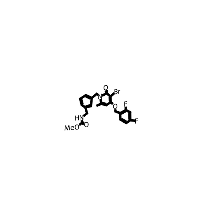 COC(=O)NCc1cccc(Cn2c(C)cc(OCc3ccc(F)cc3F)c(Br)c2=O)c1